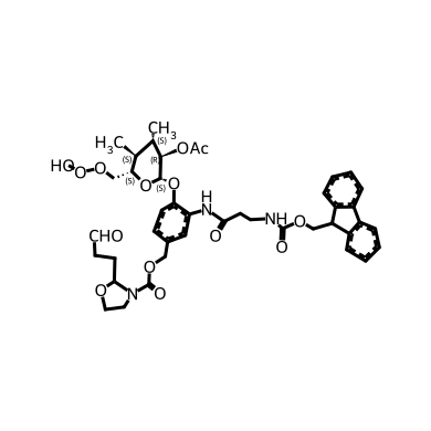 CC(=O)O[C@H]1[C@H](Oc2ccc(COC(=O)N3CCOC3CCC=O)cc2NC(=O)CCNC(=O)OCC2c3ccccc3-c3ccccc32)O[C@H](COOO)[C@@H](C)[C@@H]1C